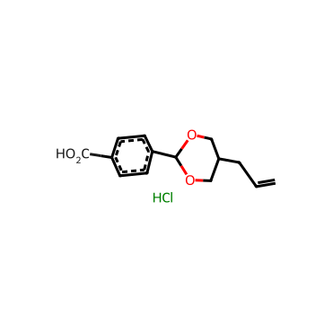 C=CCC1COC(c2ccc(C(=O)O)cc2)OC1.Cl